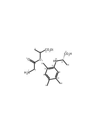 CCOC(=O)C(C)OC(=O)CN.Cc1cc(C)c(N[C@@H](C)C(=O)O)cc1C